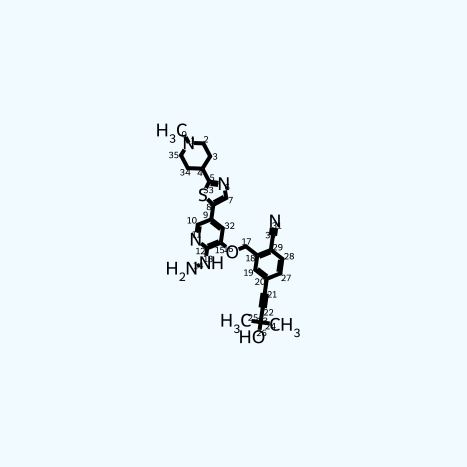 CN1CCC(c2ncc(-c3cnc(NN)c(OCc4cc(C#CC(C)(C)O)ccc4C#N)c3)s2)CC1